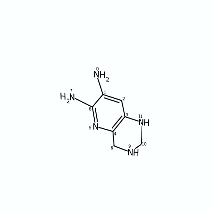 Nc1cc2c(nc1N)CNCN2